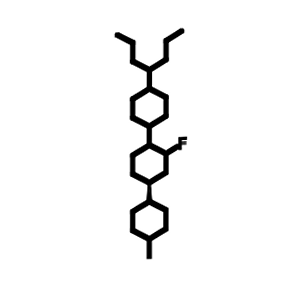 CCCC(CCC)C1CCC(C2CC[C@H](C3CCC(C)CC3)CC2F)CC1